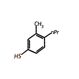 CCCc1ccc(S)cc1C